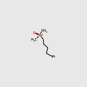 CC(C)CCCC[SH](C)(C)=O